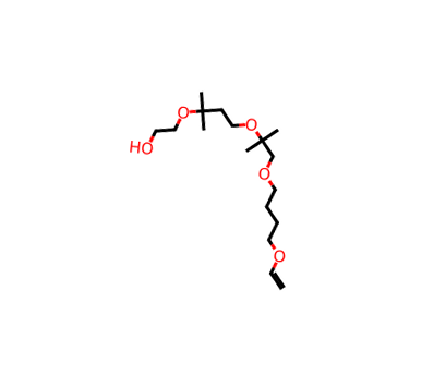 C=COCCCCOCC(C)(C)OCCC(C)(C)OCCO